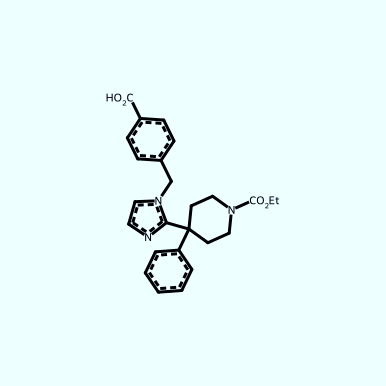 CCOC(=O)N1CCC(c2ccccc2)(c2nccn2Cc2ccc(C(=O)O)cc2)CC1